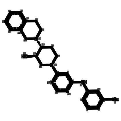 CC(C)(C)c1cccc(Nc2cc(N3CC[C@@H](N4CCc5ccccc5C4)[C@H](O)C3)ncn2)c1